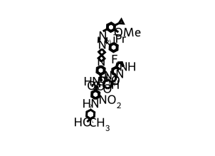 COc1cc(CN2CCN(C3CC4(C3)CN(c3ccc(C(=O)NS(=O)(=O)c5ccc(NC[C@H]6CC[C@](C)(O)CC6)c([N+](=O)[O-])c5)c(N5c6cc7c(F)c[nH]c7nc6O[C@H]6COCC[C@@H]65)c3)C4)[C@H](c3ccccc3C(C)C)C2)ccc1C1CC1